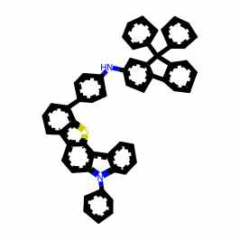 c1ccc(-n2c3ccccc3c3c4sc5c(-c6ccc(Nc7ccc8c(c7)C(c7ccccc7)(c7ccccc7)c7ccccc7-8)cc6)cccc5c4ccc32)cc1